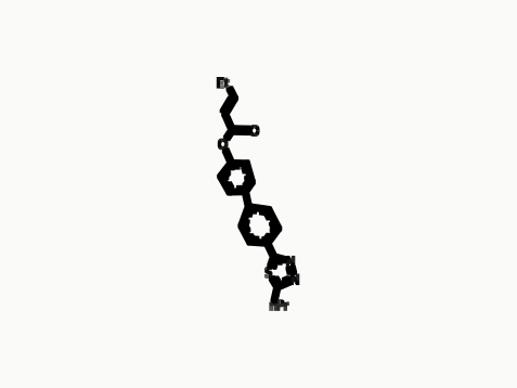 CCC=CC(=O)Oc1ccc(-c2ccc(-c3nnc(CCC)s3)cc2)cc1